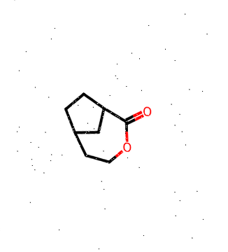 O=C1OCCC2CCC1C2